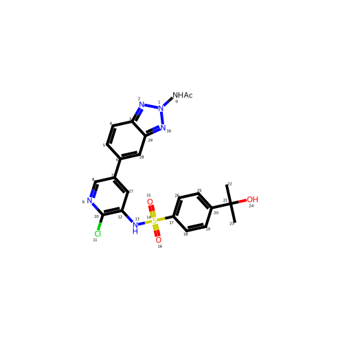 CC(=O)Nn1nc2ccc(-c3cnc(Cl)c(NS(=O)(=O)c4ccc(C(C)(C)O)cc4)c3)cc2n1